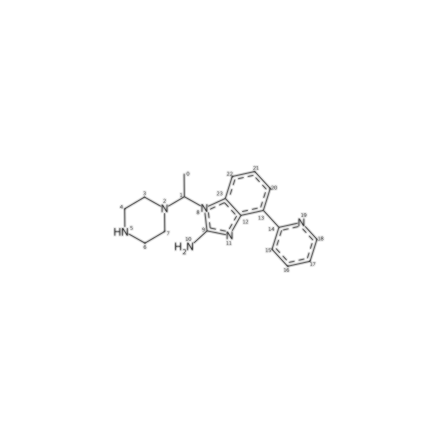 CC(N1CCNCC1)n1c(N)nc2c(-c3ccccn3)cccc21